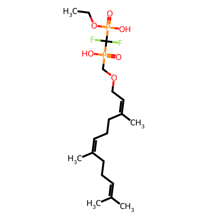 CCOP(=O)(O)C(F)(F)P(=O)(O)COCC=C(C)CCC=C(C)CCC=C(C)C